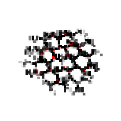 PP(P)P(P)P(P(P)P)P(P(P(P(P)P)P(P)P)P(P(P)P)P(P)P)P(P(P(P(P(P)P)P(P)P)P(P(P)P)P(P)P)P(P(P(P)P)P(P)P)P(P(P)P)P(P)P)P(P(P(P(P)P)P(P)P)P(P(P)P)P(P)P)P(P(P(P)P)P(P)P)P(P(P)P)P(P)P